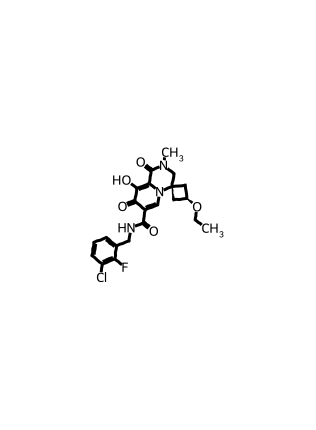 CCO[C@H]1C[C@@]2(CN(C)C(=O)c3c(O)c(=O)c(C(=O)NCc4cccc(Cl)c4F)cn32)C1